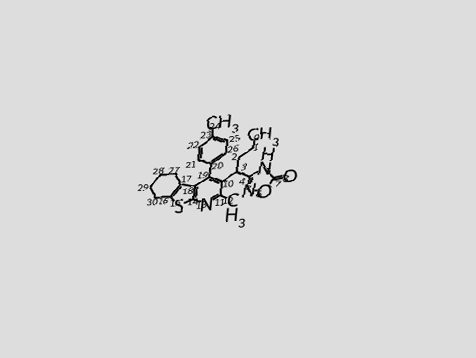 CCCC(c1noc(=O)[nH]1)c1c(C)nc2sc3c(c2c1-c1ccc(C)cc1)CCCC3